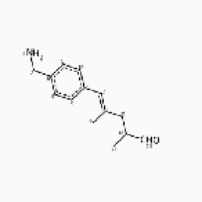 C/C(=C\c1ccc(CN)cc1)CC(C)C=O